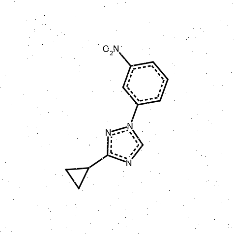 O=[N+]([O-])c1cccc(-n2cnc(C3CC3)n2)c1